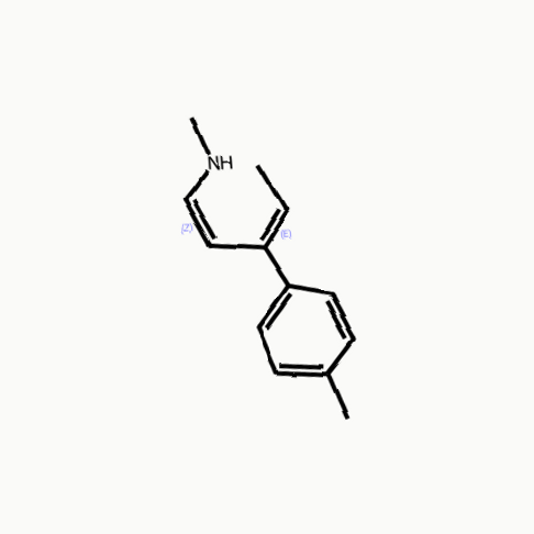 C/C=C(\C=C/NC)c1ccc(C)cc1